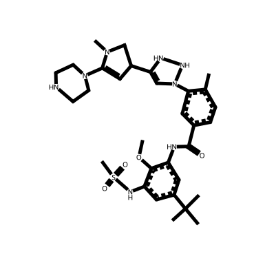 COc1c(NC(=O)c2ccc(C)c(N3C=C(C4C=C(N5CCNCC5)N(C)C4)NN3)c2)cc(C(C)(C)C)cc1NS(C)(=O)=O